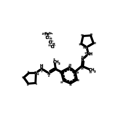 CC(=NNN1CCCC1)c1cccc(C(C)=NNN2CCCC2)n1.[Cl-].[Cl-].[Cl-].[Fe+3]